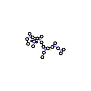 c1ccc(-c2ccc(-n3c4ccc(-c5ccc(-n6c7ccccc7c7cc8c(cc76)C6(c7cc9c(cc7-8)c7ccccc7n9-c7cccc(-c8ccccc8)c7)c7ccccc7N(c7ccccc7)c7ccccc76)cc5)cc4c4cc5c(cc43)sc3cc4c(cc35)c3ccccc3n4-c3ccc(-n4c5ccccc5c5ccccc54)cc3)cc2)cc1